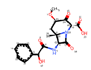 CO[C@@H]1C[C@H]2[C@H](NC(=O)C(O)c3ccccc3)C(=O)N2[C@@H](C(=O)O)C1=O